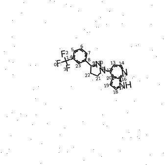 FC(F)(F)c1cccc(C2=NN(c3ccnc4[nH]ccc34)CC2)c1